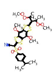 COOC(C)C(=C1Sc2c(OC)c3c(c(OC)c2S1)SC(=C(C#N)S(=O)(=O)c1ccc(C(C)C)cc1)S3)C(C)OOC